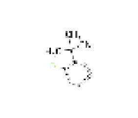 CC(C)(C#N)c1ccccc1F